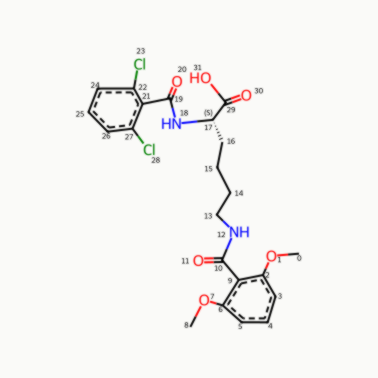 COc1cccc(OC)c1C(=O)NCCCC[C@H](NC(=O)c1c(Cl)cccc1Cl)C(=O)O